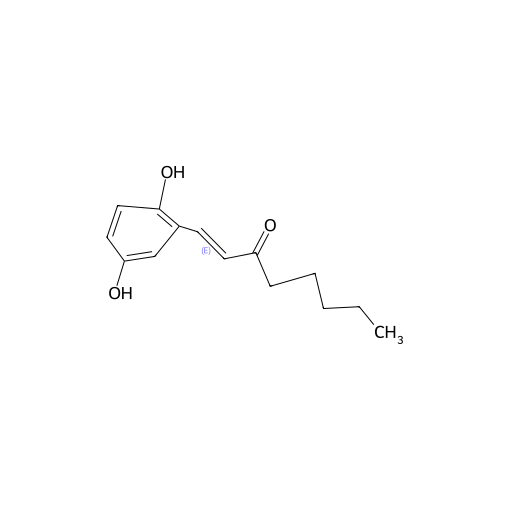 CCCCCC(=O)/C=C/c1cc(O)ccc1O